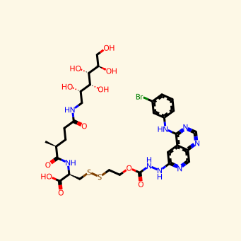 C[C@@H](CCC(=O)NC[C@H](O)[C@@H](O)[C@H](O)[C@H](O)CO)C(=O)N[C@@H](CSSCCOC(=O)NNc1cc2c(Nc3cccc(Br)c3)ncnc2cn1)C(=O)O